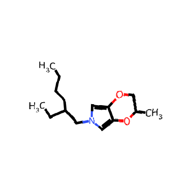 CCCCC(CC)Cn1cc2c(c1)OC(C)CO2